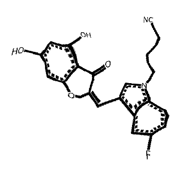 N#CCCCn1cc(/C=C2/Oc3cc(O)cc(O)c3C2=O)c2cc(F)ccc21